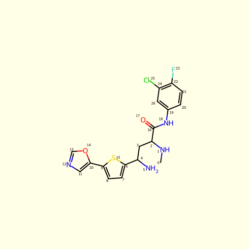 CNC(CC(N)c1ccc(-c2cnco2)s1)C(=O)Nc1ccc(F)c(Cl)c1